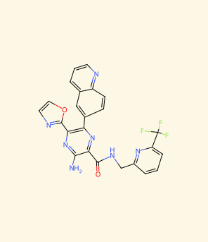 Nc1nc(-c2ncco2)c(-c2ccc3ncccc3c2)nc1C(=O)NCc1cccc(C(F)(F)F)n1